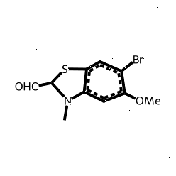 COc1cc2c(cc1Br)SC(C=O)N2C